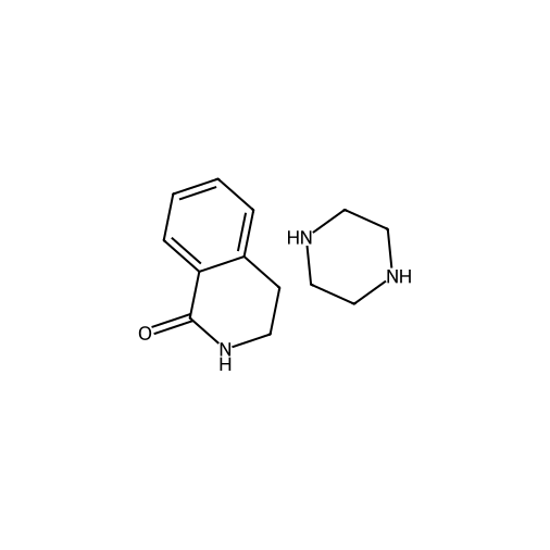 C1CNCCN1.O=C1NCCc2ccccc21